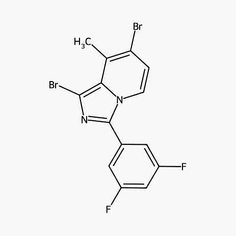 Cc1c(Br)ccn2c(-c3cc(F)cc(F)c3)nc(Br)c12